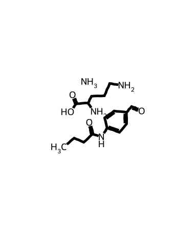 CCCC(=O)Nc1ccc(C=O)cc1.N.NCCCC(N)C(=O)O